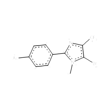 CC(=O)c1ccc(-c2nc(C(F)(F)F)c(Br)n2C)cc1